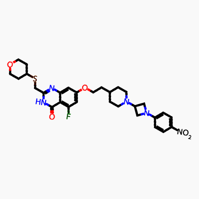 O=c1[nH]c(CSC2CCOCC2)nc2cc(OCCC3CCN(C4CN(c5ccc([N+](=O)[O-])cc5)C4)CC3)cc(F)c12